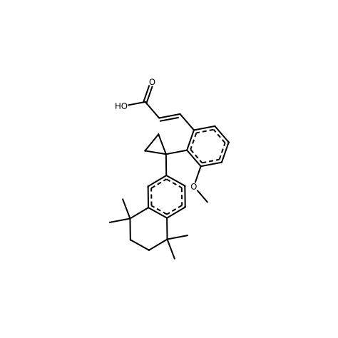 COc1cccc(C=CC(=O)O)c1C1(c2ccc3c(c2)C(C)(C)CCC3(C)C)CC1